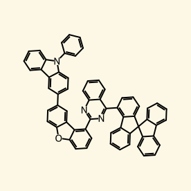 c1ccc(-n2c3ccccc3c3cc(-c4ccc5oc6cccc(-c7nc(-c8cccc9c8-c8ccccc8C98c9ccccc9-c9ccccc98)c8ccccc8n7)c6c5c4)ccc32)cc1